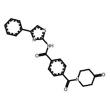 O=C1CCN(C(=O)c2ccc(C(=O)Nc3nc(-c4ccccc4)cs3)cc2)CC1